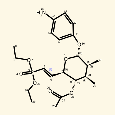 CCOP(=O)(/C=C/[C@H]1O[C@H](Oc2ccc(N)cc2)[C@@H](C)[C@@H](C)[C@@H]1OC(C)=O)OCC